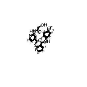 O=C(CO)Nc1cc(CSc2ncccc2C(=O)Nc2ccc(C(F)(F)F)cc2)ccn1